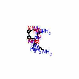 NCCC[C@H](N)CNC(=O)[C@H](CCCN)NC(=O)[C@@H]1Cc2cc(ccc2O)-c2ccc(O)c(c2)C[C@H](N)C(=O)N[C@@H](C[C@@H](O)CN)C(=O)N1